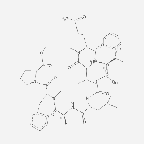 COC(=O)C1CCCN1C(=O)C(Cc1ccccc1)N(C)C(=O)[C@H](C)NC(=O)C(CC(C)C)NC(=O)CC(O)[C@H](Cc1ccccc1)NC(=O)C(CCC(N)=O)N(C)C(=O)C(NC(=O)C(C)O)C(C)C